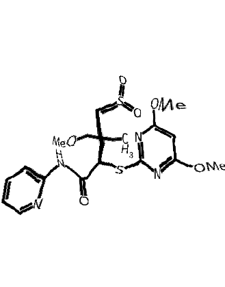 COc1cc(OC)nc(SC(C(=O)Nc2ccccn2)C(C)(C=S(=O)=O)OC)n1